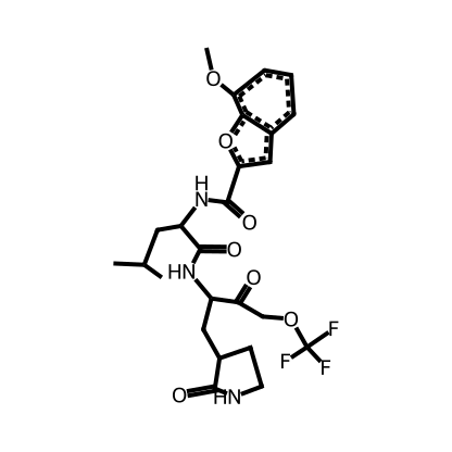 COc1cccc2cc(C(=O)NC(CC(C)C)C(=O)NC(CC3CCNC3=O)C(=O)COC(F)(F)F)oc12